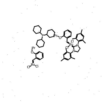 C1CCC(P(C2CCCCC2)C2CCCCC2)CC1.CC(C)Oc1ccccc1[CH]=[Ru]([Cl])[Cl].Cc1cc(C)c(N2CCN(c3c(C)cc(C)cc3C)[C]2=[Ru]([Cl])([Cl])=[CH]c2ccccc2OC(C)C)c(C)c1